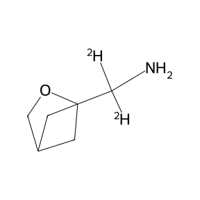 [2H]C([2H])(N)C12CC(CO1)C2